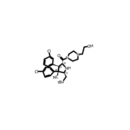 CC(C)(C)C[C@@H]1N[C@@H](C(=O)N2CCN(CCO)CC2)[C@H](c2cccc(Cl)c2)[C@@]1(C#N)c1ccc(Cl)cc1